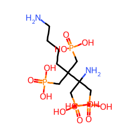 NCCCCC(CP(=O)(O)O)(CP(=O)(O)O)C(N)(CP(=O)(O)O)CP(=O)(O)O